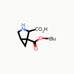 CC(C)(C)OC(=O)C12CC1CNC2C(=O)O